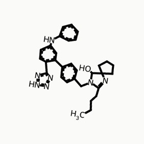 CCCCC1=NC2(CCCC2)C(O)N1Cc1ccc(-c2cc(Nc3ccccc3)ccc2-c2nn[nH]n2)cc1